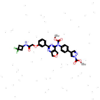 CC(C)(C)OC(=O)N(c1ccc(-c2cnn(C(=O)OC(C)(C)C)c2)cc1)c1nc(-c2cccc(OCC(=O)NC3CC(F)(F)C3)c2)nc2c1COC2